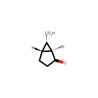 CC(C)[C@]12C(=O)CC[C@@H]1[C@@H]2C(=O)O